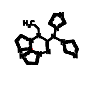 CCN(C(=Nn1ccnc1)N(n1ccnc1)n1ccnc1)n1ccnc1